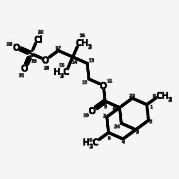 CC1CC2CC(C)CC(C(=O)OCCC(C)(C)COS(=O)(=O)Cl)(C1)C2